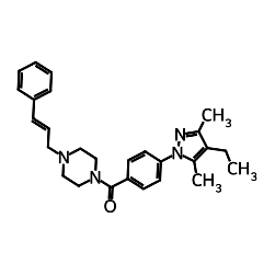 CCc1c(C)nn(-c2ccc(C(=O)N3CCN(CC=Cc4ccccc4)CC3)cc2)c1C